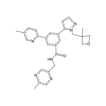 Cc1ccc(-c2cc(C(=O)NCc3cnc(C)cn3)cc(-c3ccnn3CC3(C)COC3)c2)nc1